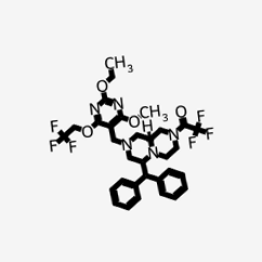 CCOc1nc(OC)c(CN2CC(C(c3ccccc3)c3ccccc3)N3CCN(C(=O)C(F)(F)F)C[C@H]3C2)c(OCC(F)(F)F)n1